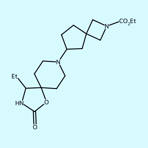 CCOC(=O)N1CC2(CCC(N3CCC4(CC3)OC(=O)NC4CC)C2)C1